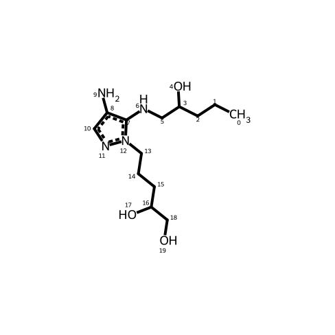 CCCC(O)CNc1c(N)cnn1CCCC(O)CO